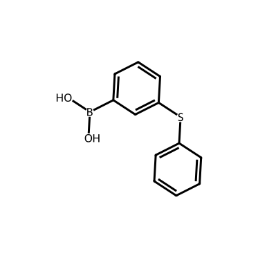 OB(O)c1cccc(Sc2ccccc2)c1